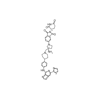 N[C@]1(CN2CCC(c3ccc(Nc4nc(-c5nccs5)cn5ccnc45)cc3)CC2)CCN(c2ccc3c(c2)C(=O)N([C@H]2CCC(=O)NC2=O)C3=O)C1